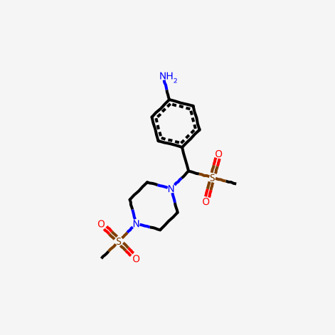 CS(=O)(=O)C(c1ccc(N)cc1)N1CCN(S(C)(=O)=O)CC1